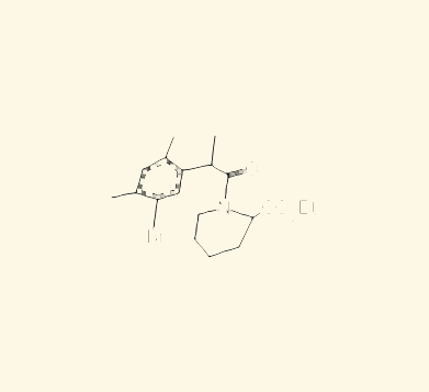 CCOC(=O)C1CCCCN1C(=O)C(C)c1cc(Br)c(C)cc1C